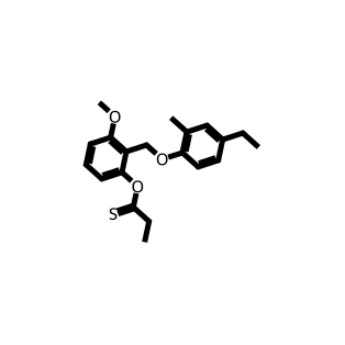 CCC(=S)Oc1cccc(OC)c1COc1ccc(CC)cc1C